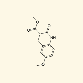 COC(=O)C1Cc2cc(OC)ccc2NC1=O